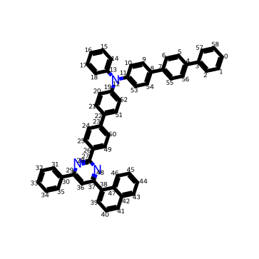 c1ccc(-c2ccc(-c3ccc(N(c4ccccc4)c4ccc(-c5ccc(-c6nc(-c7ccccc7)cc(-c7cccc8ccccc78)n6)cc5)cc4)cc3)cc2)cc1